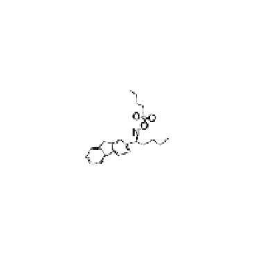 CCCCC(=NOS(=O)(=O)CCCC)c1ccc2c(c1)Cc1ccccc1-2